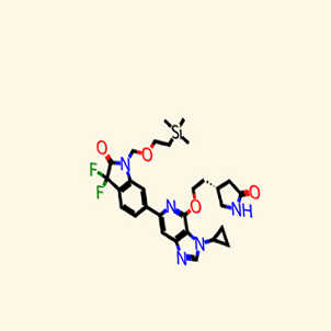 C[Si](C)(C)CCOCN1C(=O)C(F)(F)c2ccc(-c3cc4ncn(C5CC5)c4c(OCC[C@H]4CNC(=O)C4)n3)cc21